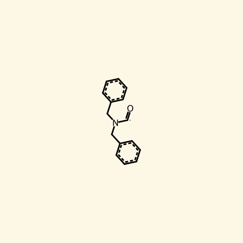 O=[C]N(Cc1ccccc1)Cc1ccccc1